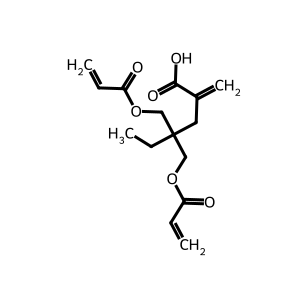 C=CC(=O)OCC(CC)(COC(=O)C=C)CC(=C)C(=O)O